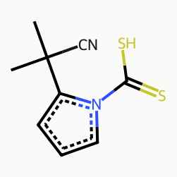 CC(C)(C#N)c1cccn1C(=S)S